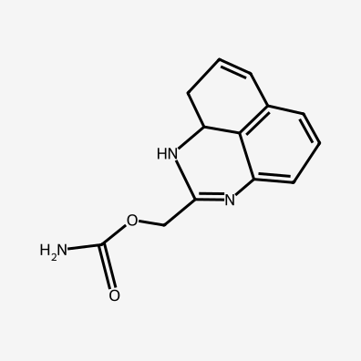 NC(=O)OCC1=Nc2cccc3c2C(CC=C3)N1